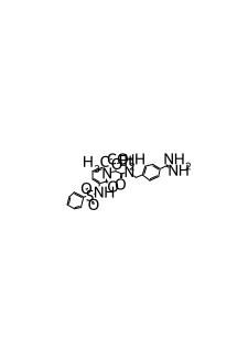 CC(=O)O.CCOC(C(=O)NCc1ccc(C(=N)N)cc1)n1cccc(NS(=O)(=O)c2ccccc2)c1=O